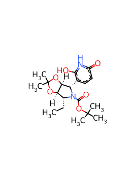 CC[C@@H]1[C@H]2OC(C)(C)O[C@H]2[C@H](c2ccc(=O)[nH]c2O)N1C(=O)OC(C)(C)C